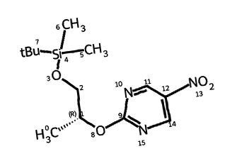 C[C@H](CO[Si](C)(C)C(C)(C)C)Oc1ncc([N+](=O)[O-])cn1